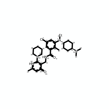 CCN(c1cc(Cl)cc(C(=O)NCc2c(N3CCCCC3)[nH]c(C)cc2=O)c1C)[C@H]1CC[C@H](N(C)C)CC1